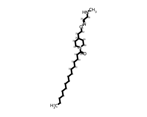 CCCCCCCCCCCCCCCC(=O)N1CCC(CCO/N=C/CNC)CC1